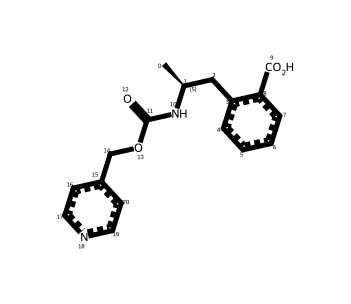 C[C@@H](Cc1ccccc1C(=O)O)NC(=O)OCc1ccncc1